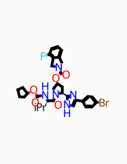 CC(C)[C@H](NC(=O)OC1CCCC1)C(=O)N1C[C@H](OC(=O)N2Cc3cccc(F)c3C2)C[C@H]1c1nc(-c2ccc(Br)cc2)c[nH]1